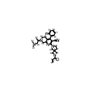 C=CC(=O)N1CC2(CCN(c3nc4c(c(-c5ccccc5F)c3C#N)CCN(C(C)CN(C)C)C4)C2)C1